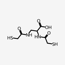 O=C(CS)NCC(NC(=O)CS)C(=O)O